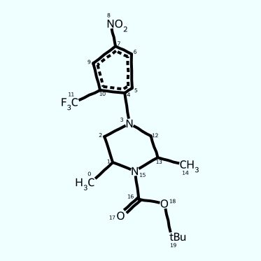 CC1CN(c2ccc([N+](=O)[O-])cc2C(F)(F)F)CC(C)N1C(=O)OC(C)(C)C